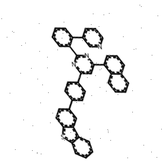 c1cncc(-c2ccccc2-c2nc(-c3ccc(-c4ccc5sc6ccccc6c5c4)cc3)cc(-c3cccc4ccccc34)n2)c1